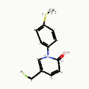 CSc1ccc(-n2cc(CF)ccc2=O)cc1